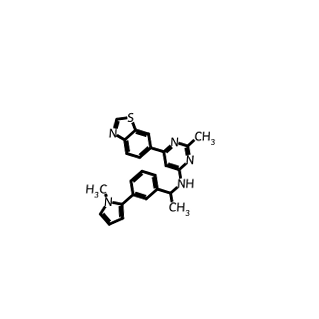 Cc1nc(NC(C)c2cccc(-c3cccn3C)c2)cc(-c2ccc3ncsc3c2)n1